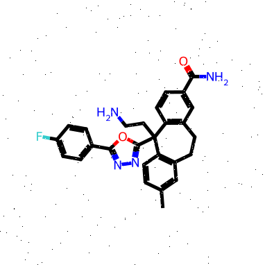 Cc1ccc2c(c1)CCc1cc(C(N)=O)ccc1C2(CCN)c1nnc(-c2ccc(F)cc2)o1